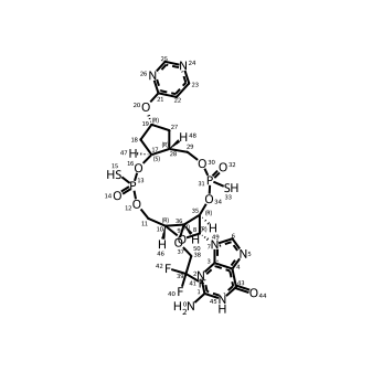 Nc1nc2c(ncn2[C@@H]2O[C@@H]3COP(=O)(S)O[C@H]4C[C@H](Oc5ccncn5)C[C@@H]4COP(=O)(S)O[C@@H]2[C@@H]3OCC(F)(F)F)c(=O)[nH]1